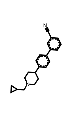 N#Cc1cccc(-c2ccc(C3CCN(CC4CC4)CC3)cc2)c1